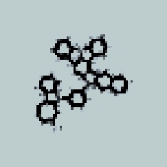 CCC1=CC=Cc2c(n(-c3cccc(-n4c5cc6ccccc6cc5c5c6c7ccccc7n7c8ccccc8c(cc54)c67)c3)c3ccccc23)C1